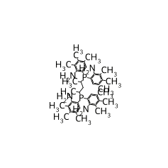 Cc1cc(P(c2cc(C)c(C)c(C)c2N)C(C)CC(C)P(c2cc(C)c(C)c(C)c2N)c2cc(C)c(C)c(C)c2N)c(N)c(C)c1C